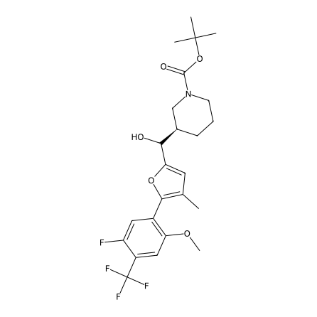 COc1cc(C(F)(F)F)c(F)cc1-c1oc(C(O)[C@@H]2CCCN(C(=O)OC(C)(C)C)C2)cc1C